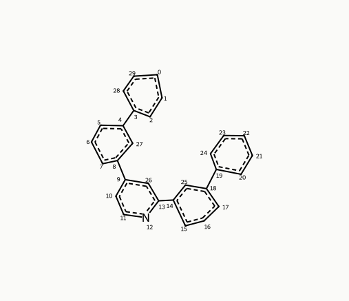 c1ccc(-c2cccc(-c3ccnc(-c4cccc(-c5ccccc5)c4)c3)c2)cc1